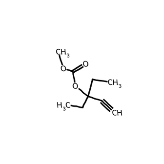 C#CC(CC)(CC)OC(=O)OC